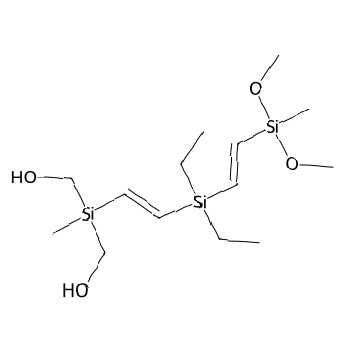 CC[Si](C=C[Si](C)(CO)CO)(C=C[Si](C)(OC)OC)CC